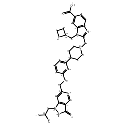 O=C(O)c1ccc2nc(CN3CCC(c4cccc(OCc5cc6c(cn5)c(=O)[nH]n6CC(F)F)n4)CC3)n(C[C@@H]3CCO3)c2c1